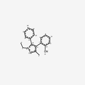 CCn1nc(C)c(-c2ccccc2O)c1-c1ccncc1